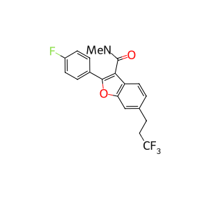 CNC(=O)c1c(-c2ccc(F)cc2)oc2cc(CCC(F)(F)F)ccc12